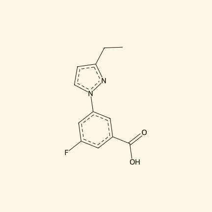 CCc1ccn(-c2cc(F)cc(C(=O)O)c2)n1